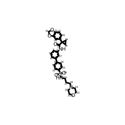 O=C(Nc1cccc(-c2ccc(S(=O)(=O)NCCCN3CCOCC3)cc2)c1)C1(c2ccc3c(c2)OCO3)CC1